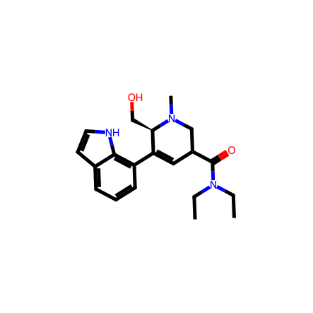 CCN(CC)C(=O)C1C=C(c2cccc3cc[nH]c23)[C@@H](CO)N(C)C1